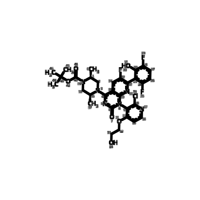 C[C@H]1CN(c2nc(=O)n(-c3c(OCCO)ccnc3Cl)c3nc(-c4c(F)ccc(F)c4O)c(F)cc23)[C@@H](C)CN1C(=O)OC(C)(C)C